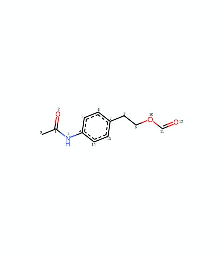 CC(=O)Nc1ccc(CCOC=O)cc1